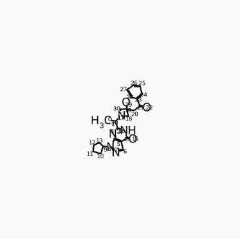 C[C@H](c1nc2c(cnn2C2CCCC2)c(=O)[nH]1)N1CC2(CC(=O)c3ccccc3O2)C1